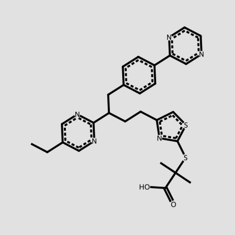 CCc1cnc(C(CCc2csc(SC(C)(C)C(=O)O)n2)Cc2ccc(-c3cnccn3)cc2)nc1